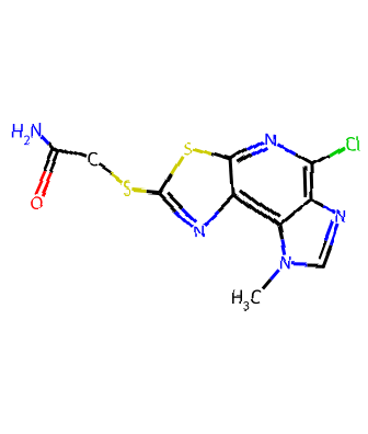 Cn1cnc2c(Cl)nc3sc(SCC(N)=O)nc3c21